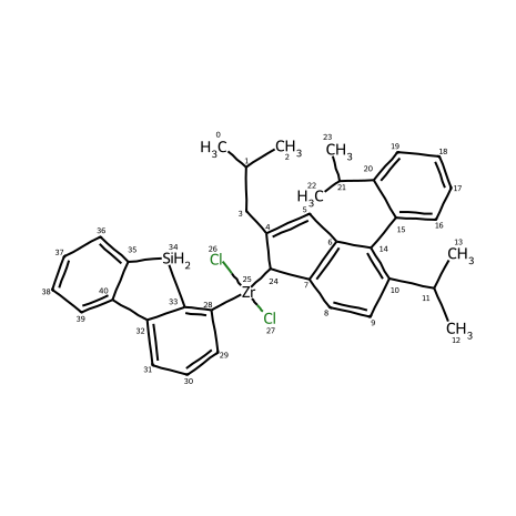 CC(C)CC1=Cc2c(ccc(C(C)C)c2-c2ccccc2C(C)C)[CH]1[Zr]([Cl])([Cl])[c]1cccc2c1[SiH2]c1ccccc1-2